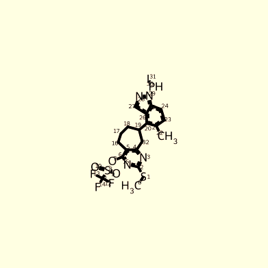 CSc1nc2c(c(OS(=O)(=O)C(F)(F)F)n1)CCCC(c1c(C)ccc3c1cnn3PI)C2